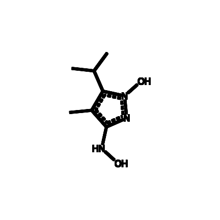 Cc1c(NO)nn(O)c1C(C)C